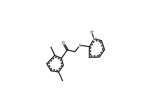 Cc1ccc(C)c(C(=O)CSc2cccc[n+]2[O-])c1